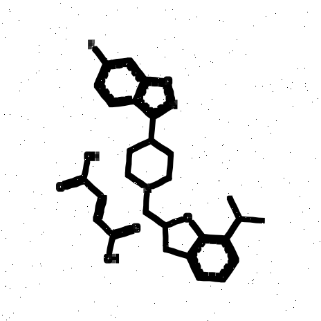 CC(C)c1cccc2c1OC(CN1CCC(c3noc4cc(F)ccc34)CC1)C2.O=C(O)/C=C/C(=O)O